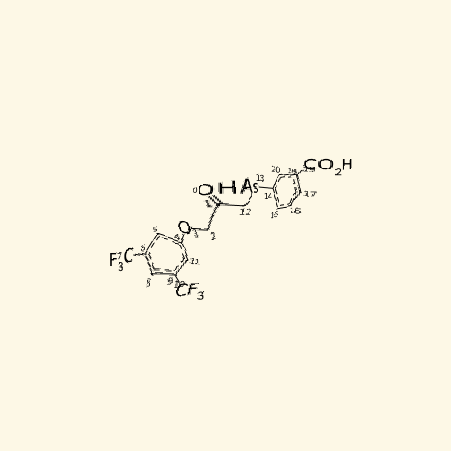 O=C(COc1cc(C(F)(F)F)cc(C(F)(F)F)c1)C[AsH]c1cccc(C(=O)O)c1